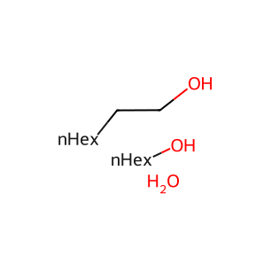 CCCCCCCCO.CCCCCCO.O